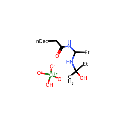 CCCCCCCCCCCC(=O)NC(CC)NC(C)(O)CC.[O-][Cl+3]([O-])([O-])O